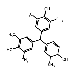 Cc1cc(C(C2=CC(C)C(O)C=C2)c2cc(C)c(O)c(C)c2)cc(C)c1O